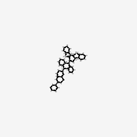 c1ccc(-c2ccc3cc(-c4c5ccccc5c(-c5cc6c7ccccc7sc6c6c5sc5ccccc56)c5ccccc45)ccc3c2)cc1